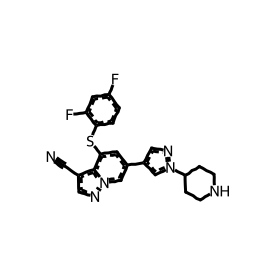 N#Cc1cnn2cc(-c3cnn(C4CCNCC4)c3)cc(Sc3ccc(F)cc3F)c12